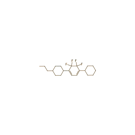 CCCC1CCC(C2=CC=C(C3CCCCC3)C(F)(F)C2(F)F)CC1